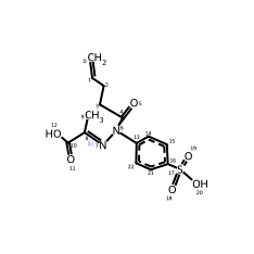 C=CCCC(=O)N(/N=C(\C)C(=O)O)c1ccc(S(=O)(=O)O)cc1